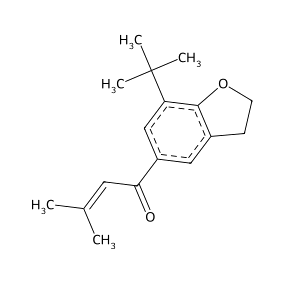 CC(C)=CC(=O)c1cc2c(c(C(C)(C)C)c1)OCC2